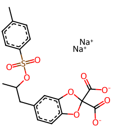 Cc1ccc(S(=O)(=O)OC(C)Cc2ccc3c(c2)OC(C(=O)[O-])(C(=O)[O-])O3)cc1.[Na+].[Na+]